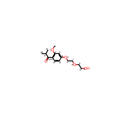 COc1cc(OCCOCCO)ccc1C(=O)C(C)C